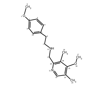 COc1ccc(CCNCc2ncc(C)c(OC)c2C)cc1